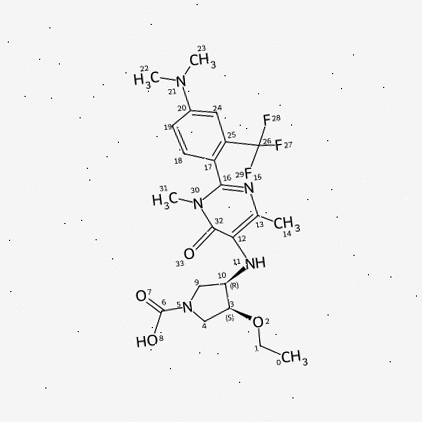 CCO[C@H]1CN(C(=O)O)C[C@H]1Nc1c(C)nc(-c2ccc(N(C)C)cc2C(F)(F)F)n(C)c1=O